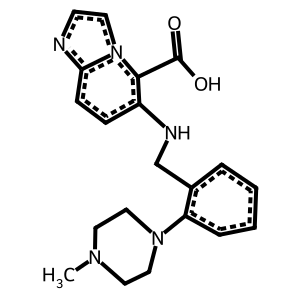 CN1CCN(c2ccccc2CNc2ccc3nccn3c2C(=O)O)CC1